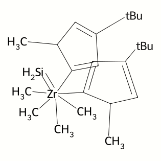 CC1C=C(C(C)(C)C)C=[C]1[Zr]([CH3])([CH3])([CH3])([CH3])(=[SiH2])[C]1=CC(C(C)(C)C)=CC1C